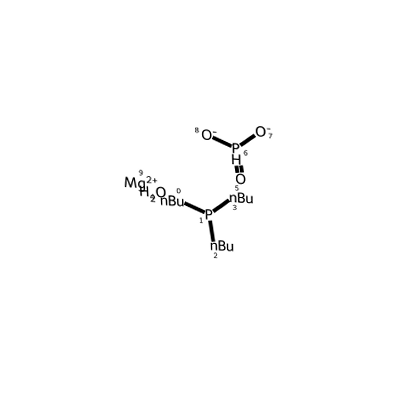 CCCCP(CCCC)CCCC.O.O=[PH]([O-])[O-].[Mg+2]